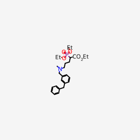 CCOC(=O)C(CCCN(C)Cc1cccc(Cc2ccccc2)c1)P(=O)(OCC)OCC